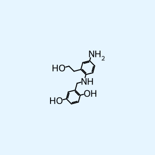 Nc1ccc(NCc2cc(O)ccc2O)c(CCO)c1